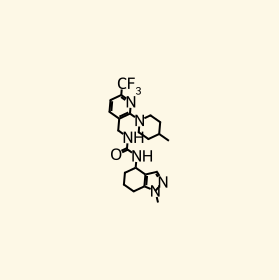 CC1CCN(c2nc(C(F)(F)F)ccc2CNC(=O)NC2CCCc3c2cnn3C)CC1